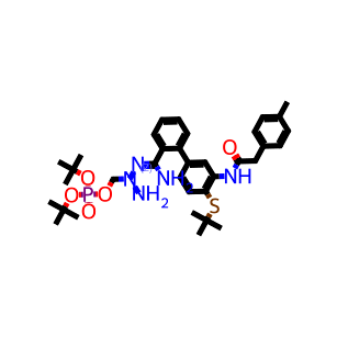 Cc1ccc(CC(=O)Nc2cc(-c3ccccc3/C(N)=N/N(N)COP(=O)(OC(C)(C)C)OC(C)(C)C)ccc2SC(C)(C)C)cc1